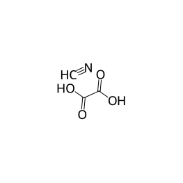 C#N.O=C(O)C(=O)O